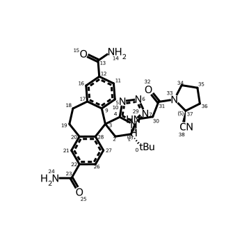 CC(C)(C)[C@H](CC1(c2nnn[nH]2)c2ccc(C(N)=O)cc2CCc2cc(C(N)=O)ccc21)NCC(=O)N1CCC[C@H]1C#N